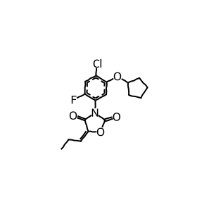 CCC=C1OC(=O)N(c2cc(OC3CCCC3)c(Cl)cc2F)C1=O